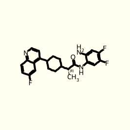 C[C@@H](C(=O)Nc1cc(F)c(F)cc1N)C1CCC(c2ccnc3ccc(F)cc23)CC1